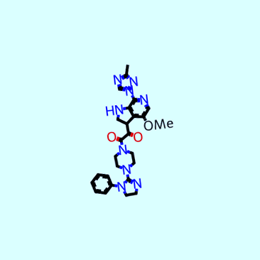 COc1cnc(-n2cnc(C)n2)c2c1C(C(=O)C(=O)N1CCN(C3=NCCN3c3ccccc3)CC1)CN2